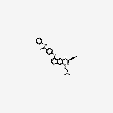 CC#CC(=O)Nc1cc2c(Oc3ccc(C(=O)Nc4ccccn4)cc3)ccnc2cc1OCCN(C)C